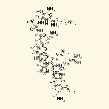 CCC[C@H](NC(=O)[C@@H](NC(=O)[C@@H](N)CCCCN)[C@@H](O)CN)C(=O)NCC(=O)N[C@H](CCCN)C(=O)N1CCC[C@H]1C(=O)N[C@@H](Cc1cnc[nH]1)C(=O)N[C@@H](CCCCN)C(=O)N/C(=C\CCNC(=N)N)C(=O)N[C@@H](CCCCN)C(=O)NCCCCN